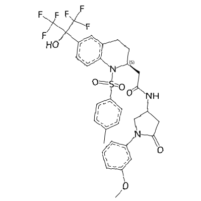 COc1cccc(N2CC(NC(=O)C[C@@H]3CCc4cc(C(O)(C(F)(F)F)C(F)(F)F)ccc4N3S(=O)(=O)c3ccc(C)cc3)CC2=O)c1